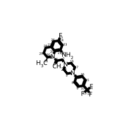 C=C(CN1CCN(c2ccc(C(F)(F)F)cc2)CC1)N1c2c(N)cc(F)cc2CC[C@@H]1C